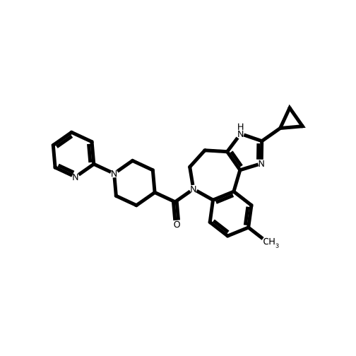 Cc1ccc2c(c1)-c1nc(C3CC3)[nH]c1CCN2C(=O)C1CCN(c2ccccn2)CC1